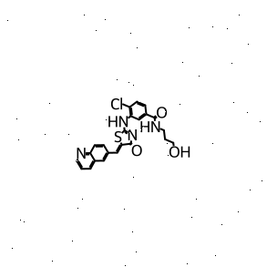 O=C1N=C(Nc2cc(C(=O)NCCCO)ccc2Cl)S/C1=C\c1ccc2ncccc2c1